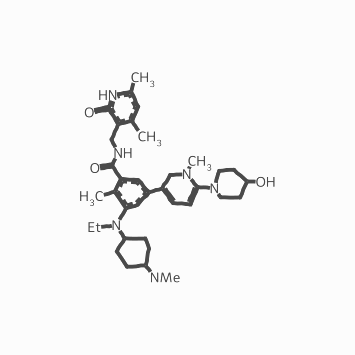 CCN(c1cc(C2=CC=C(N3CCC(O)CC3)N(C)C2)cc(C(=O)NCc2c(C)cc(C)[nH]c2=O)c1C)C1CCC(NC)CC1